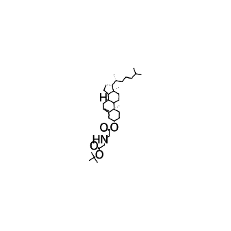 CC(C)CCC[C@@H](C)[C@H]1CCC2[C@@H]3CC=C4C[C@@H](OC(=O)CNCC(=O)OC(C)(C)C)CC[C@]4(C)C3CC[C@@]21C